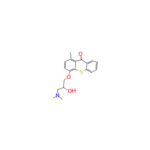 Cc1ccc(OCC(O)CN(C)C)c2sc3ccccc3c(=O)c12